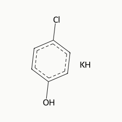 Oc1ccc(Cl)cc1.[KH]